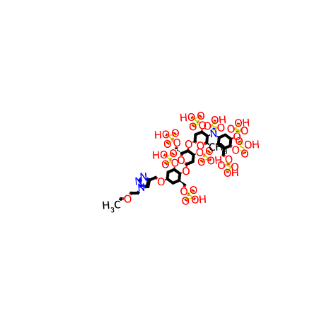 CCOCCn1cc(CO[C@@H]2C[C@H](COS(=O)(=O)O)[C@@H](O[C@@H]3C[C@@H](OS(=O)(=O)O)[C@H](O[C@@H]4C[C@@H](OS(=O)(=O)O)[C@H](N([C@H]5C=C(COS(=O)(=O)O)C(OS(=O)(=O)O)[C@H](OS(=O)(=O)O)C5)S(=O)(=O)O)[C@@H](C)O4)[C@@H](COS(=O)(=O)O)O3)[C@H](OS(=O)(=O)O)C2)nn1